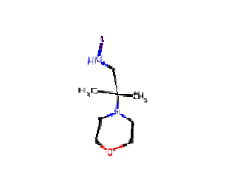 CC(C)(CNI)N1CCOCC1